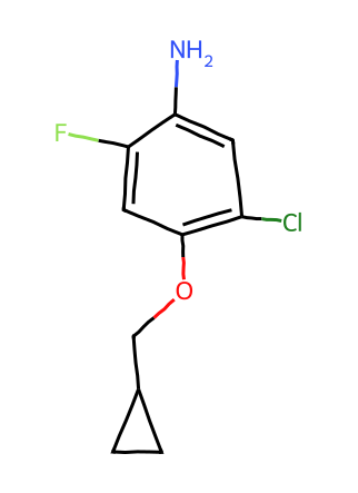 Nc1cc(Cl)c(OCC2CC2)cc1F